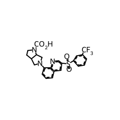 O=C(O)N1CCC2CN(c3cccc4cc(S(=O)(=O)c5cccc(C(F)(F)F)c5)cnc34)CC21